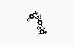 COc1ccc2c(c1)/C(=C/C(=O)c1ccc(NC(=O)c3cc(F)cc(F)c3F)cc1)NC(C)(C)C2